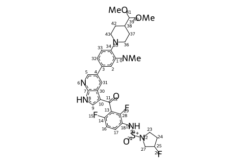 CNc1cc(-c2cnc3[nH]cc(C(=O)c4c(F)ccc(N[S+]([O-])N5CCC(F)C5)c4F)c3c2)ccc1N1CCC(C(OC)OC)CC1